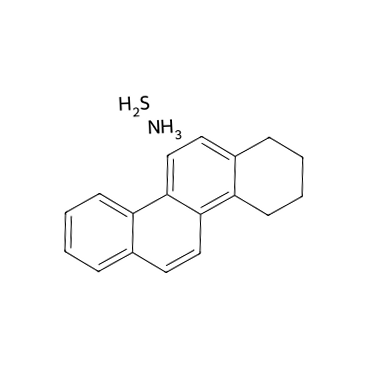 N.S.c1ccc2c(c1)ccc1c3c(ccc12)CCCC3